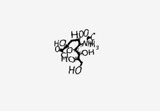 CC(=O)N[C@H]1[C@H]([C@H](O)[C@H](O)CO)O[C@](O)(C(=O)Cl)C[C@@H]1O